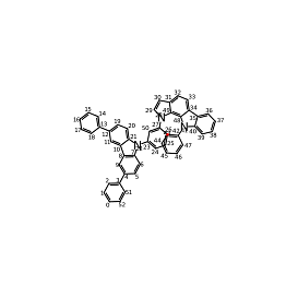 c1ccc(-c2ccc3c(c2)c2cc(-c4ccccc4)ccc2n3-c2cccc(-n3ccc4ccc5c6ccccc6n(-c6ccccc6)c5c43)c2)cc1